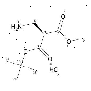 COC(=O)[C@H](CN)C(=O)OC(C)(C)C.Cl